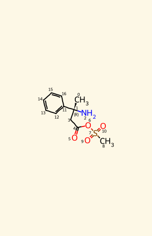 C[C@@](N)(CC(=O)OS(C)(=O)=O)c1ccccc1